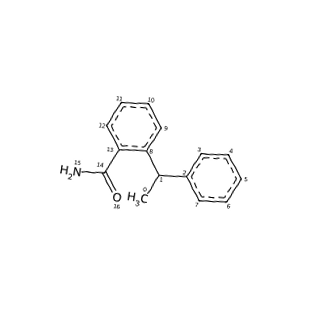 CC(c1ccccc1)c1ccccc1C(N)=O